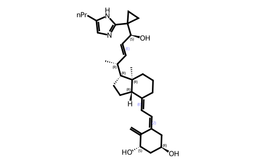 C=C1/C(=C\C=C2/CCC[C@]3(C)[C@@H]([C@H](C)/C=C/[C@H](O)C4(c5ncc(CCC)[nH]5)CC4)CC[C@@H]23)C[C@@H](O)C[C@@H]1O